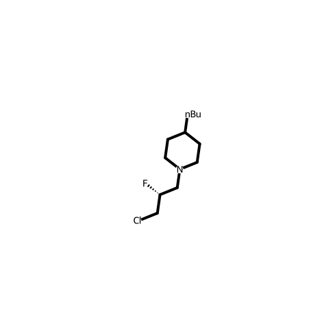 CCCCC1CCN(C[C@@H](F)CCl)CC1